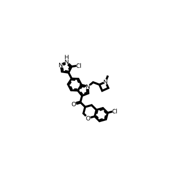 CN1CCC1Cn1cc(C(=O)C2COc3ccc(Cl)cc3C2)c2ccc(-c3cn[nH]c3Cl)cc21